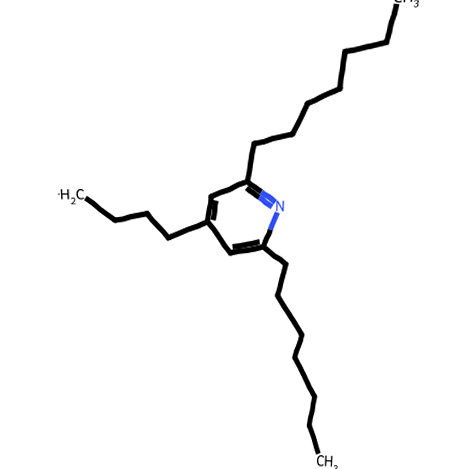 [CH2]CCCc1cc(CCCCCCC)nc(CCCCCCC)c1